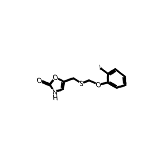 O=c1[nH]cc(CSCOc2ccccc2I)o1